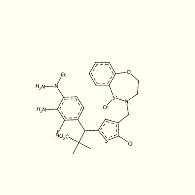 CCN(N)c1ccc(C(c2cc(CN3CCOc4ccccc4[S+]3[O-])c(Cl)s2)C(C)(C)C(=O)O)c(F)c1N